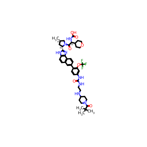 C[C@H]1C[C@@H](c2nc3c(ccc4cc(-c5ccc(NC(=O)NCCNC6CCN(C(=O)C(C)(C)C)CC6)cc5OC(F)(F)F)ccc43)[nH]2)N(C(=O)[C@@H](NC(=O)O)C2CCOCC2)C1